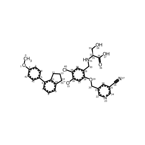 COc1ccc(-c2cccc3c2CC[C@@H]3Oc2cc(OCc3cncc(C#N)c3)c(CN[C@@H](CO)C(=O)O)cc2Cl)cc1